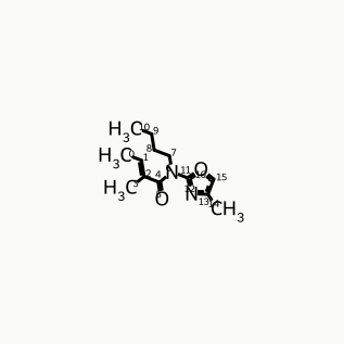 CC=C(C)C(=O)N(CCCC)c1nc(C)co1